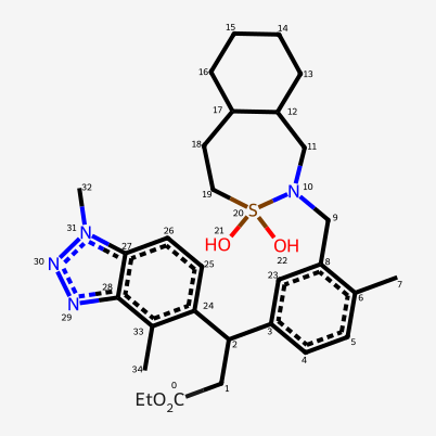 CCOC(=O)CC(c1ccc(C)c(CN2CC3CCCCC3CCS2(O)O)c1)c1ccc2c(nnn2C)c1C